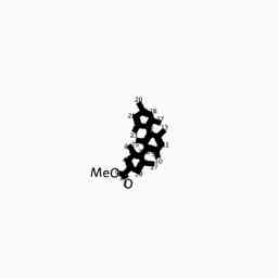 COC(=O)c1cc(C)c(-c2c(C)cc(C)c(-c3c(C)cc(C)cc3C)c2C)c(C)c1